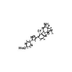 CC[C@@]1(c2cc(-c3cc(-c4cnc(OC)cn4)no3)ccc2F)CS(=O)(=NC)C(C)(C)C(N)=N1